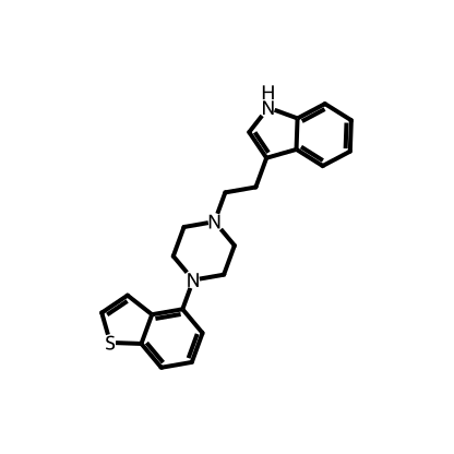 c1ccc2c(CCN3CCN(c4cccc5sccc45)CC3)c[nH]c2c1